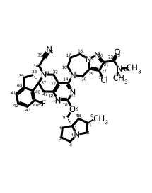 C[C@H]1CN2CCC[C@@]2(COc2nc3c(c(N4CCCn5nc(C(=O)N(C)C)c(Cl)c5C4)n2)CN(CC#N)[C@@]2(CCc4cccc(F)c42)C3)C1